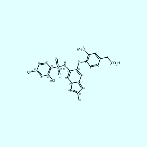 COc1cc(CC(=O)O)ccc1Oc1cc2cc(C)nn2cc1NS(=O)(=O)c1ccc(Cl)cc1Cl